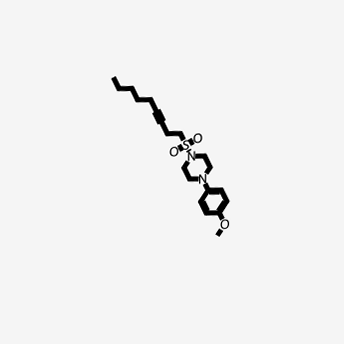 CCCCCC#CCCS(=O)(=O)N1CCN(c2ccc(OC)cc2)CC1